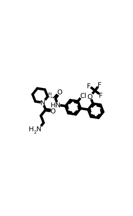 NCCC(=O)N1CCCC[C@@H]1C(=O)Nc1ccc(-c2ccccc2OC(F)(F)F)c(Cl)c1